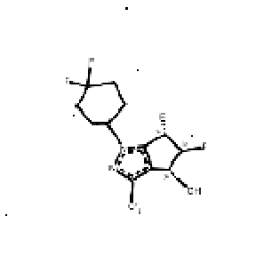 O[C@H]1c2c(C(F)(F)F)nn(C3CCC(F)(F)CC3)c2[C@H](F)[C@H]1F